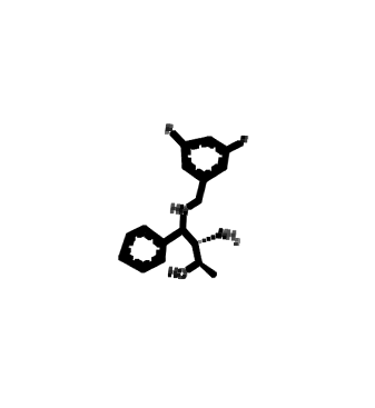 C[C@@H](O)[C@@H](N)C(NCc1cc(F)cc(F)c1)c1ccccc1